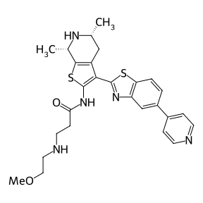 COCCNCCC(=O)Nc1sc2c(c1-c1nc3cc(-c4ccncc4)ccc3s1)C[C@@H](C)N[C@H]2C